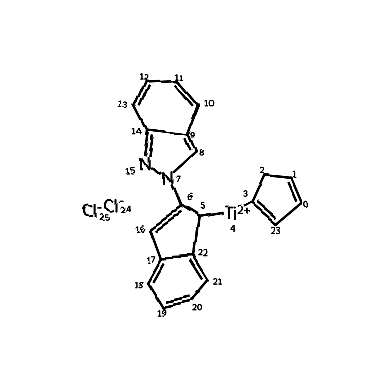 C1=CC[C]([Ti+2][CH]2C(n3cc4ccccc4n3)=Cc3ccccc32)=C1.[Cl-].[Cl-]